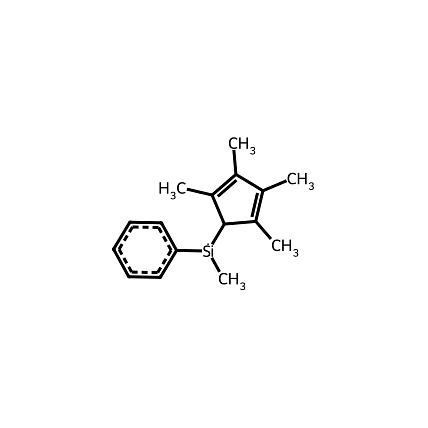 CC1=C(C)C([Si](C)c2ccccc2)C(C)=C1C